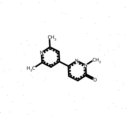 Cc1cc(-c2ccc(=O)n(C)n2)cc(C)n1